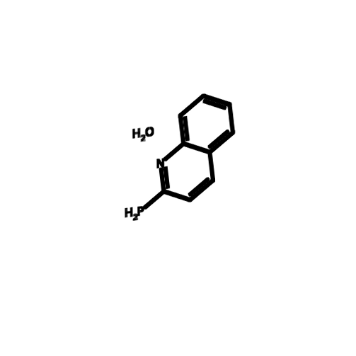 O.Pc1ccc2ccccc2n1